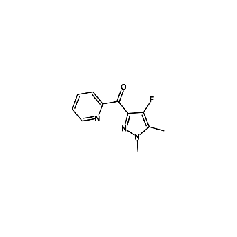 Cc1c(F)c(C(=O)c2ccccn2)nn1C